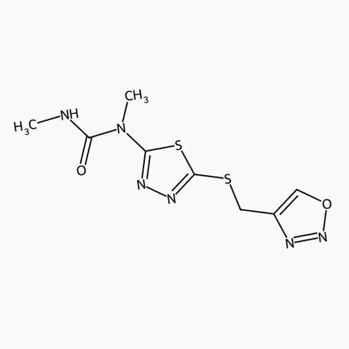 CNC(=O)N(C)c1nnc(SCc2conn2)s1